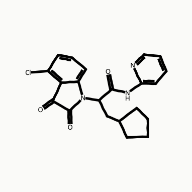 O=C1C(=O)N(C(CC2CCCC2)C(=O)Nc2ccccn2)c2cccc(Cl)c21